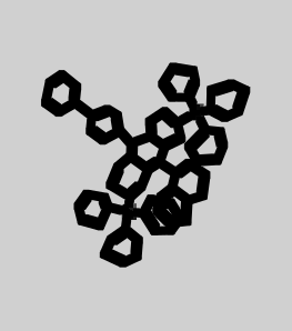 c1ccc(-c2ccc(-c3c4ccc([Si](c5ccccc5)(c5ccccc5)c5ccccc5)cc4c(-c4cccc5ccccc45)c4cc([Si](c5ccccc5)(c5ccccc5)c5ccccc5)ccc34)cc2)cc1